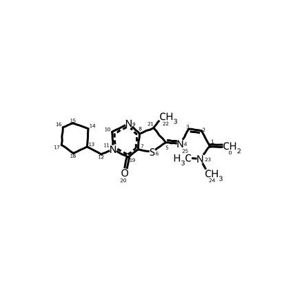 C=C(/C=C\N=C1\Sc2c(ncn(CC3CCCCC3)c2=O)C1C)N(C)C